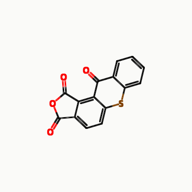 O=C1OC(=O)c2c1ccc1sc3ccccc3c(=O)c21